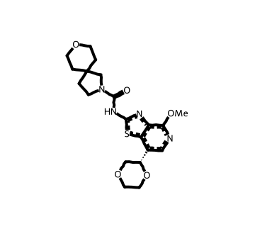 COc1ncc([C@H]2COCCO2)c2sc(NC(=O)N3CCC4(CCOCC4)C3)nc12